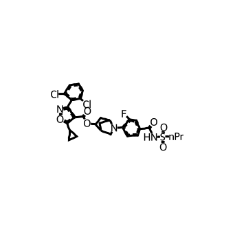 CCCS(=O)(=O)NC(=O)c1ccc(N2CC3CC2CC3OC(=O)c2c(-c3c(Cl)cccc3Cl)noc2C2CC2)c(F)c1